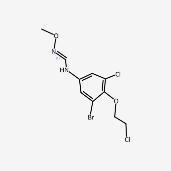 CO/N=C/Nc1cc(Cl)c(OCCCl)c(Br)c1